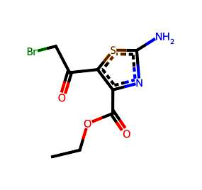 CCOC(=O)c1nc(N)sc1C(=O)CBr